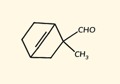 CC1(C=O)CC2C=CC1CC2